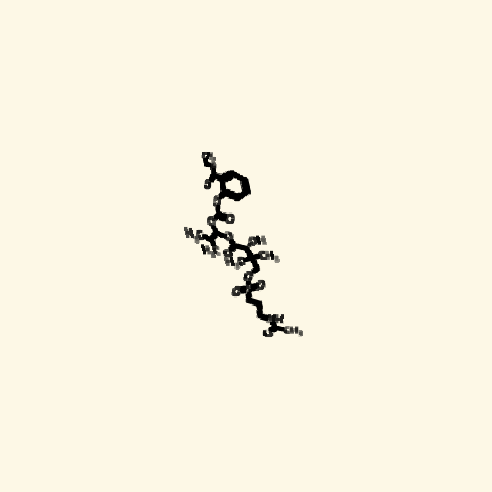 CCOC(=O)c1ccccc1OC(=O)OC(OC(=O)[C@H](O)C(C)(C)COS(=O)(=O)CCCNC(C)=O)C(C)C